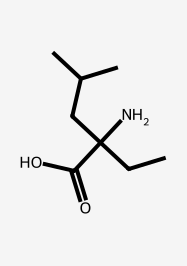 CCC(N)(CC(C)C)C(=O)O